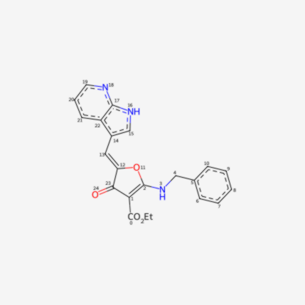 CCOC(=O)C1=C(NCc2ccccc2)O/C(=C\c2c[nH]c3ncccc23)C1=O